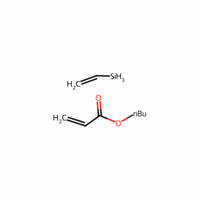 C=CC(=O)OCCCC.C=C[SiH3]